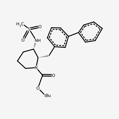 CC(C)(C)OC(=O)N1CCC[C@H](NS(C)(=O)=O)[C@@H]1Cc1cccc(-c2ccccc2)c1